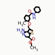 CCOC(=O)c1cnc(N)c2c(COc3cc(C(=O)Nc4ccccc4)ccc3C)csc12